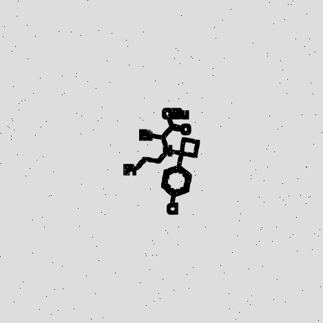 CCC(C(=O)OCC(C)C)N(CCC(C)C)C1(c2ccc(Cl)cc2)CCC1